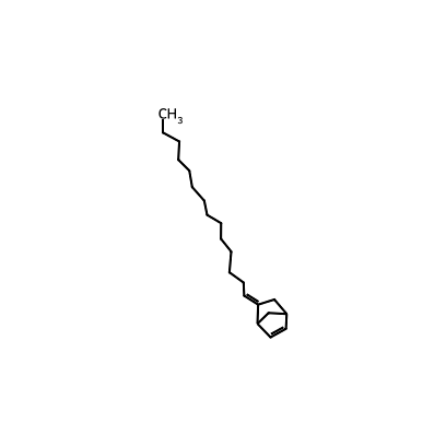 CCCCCCCCCCCCCC=C1CC2C=CC1C2